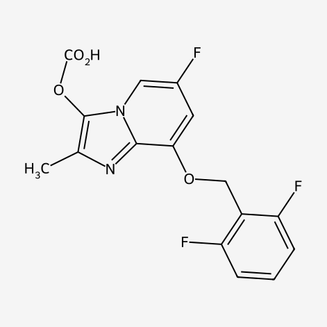 Cc1nc2c(OCc3c(F)cccc3F)cc(F)cn2c1OC(=O)O